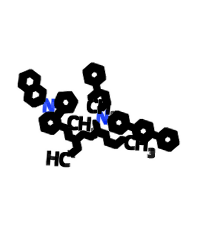 C#C/C=C(\C=C(/C)c1cccc2c1c1ccccc1n2C1=CC=C2C=CCCC2C1)CC/C(=C\C=C/CC)CN(C/C=C\C(=C/C)c1ccccc1)c1ccc(-c2ccc(-c3ccccc3)cc2)cc1